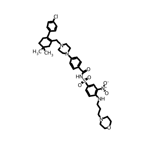 CC1(C)CCC(c2ccc(Cl)cc2)=C(CN2CCN(c3ccc(C(=O)NS(=O)(=O)c4ccc(NCCCN5CCOCC5)c([N+](=O)[O-])c4)cc3)CC2)C1